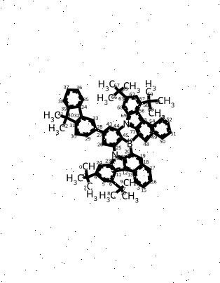 CC(C)(C)c1cc(C(C)(C)C)c2c3c4ccccc4cc4c3n(c2c1)-c1cc(-c2ccc3c(c2)-c2ccccc2C3(C)C)cc2c1B4c1cc3ccccc3c3c4c(C(C)(C)C)cc(C(C)(C)C)cc4n-2c13